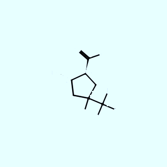 C[C@H]1CC(O)(C(F)(F)F)C[C@@H]1C(=O)O